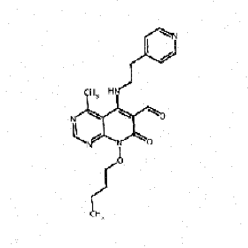 CCCCOn1c(=O)c(C=O)c(NCCc2ccncc2)c2c(C)ncnc21